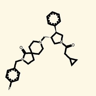 O=C(CC1CC1)N1C[C@H](CN2CCC3(CC2)CCN(Cc2ccc(F)cc2)C3=O)[C@@H](c2ccccc2)C1